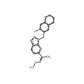 CO/N=C(/C)c1ccc2nnn(Cc3cc4cccnc4cc3F)c2n1